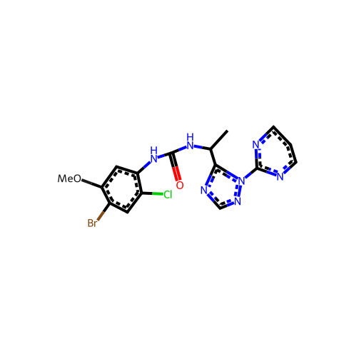 COc1cc(NC(=O)NC(C)c2ncnn2-c2ncccn2)c(Cl)cc1Br